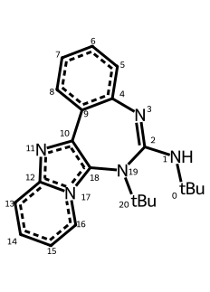 CC(C)(C)NC1=Nc2ccccc2-c2nc3ccccn3c2N1C(C)(C)C